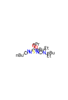 CCCCc1ccc(N=Nc2cc(C(=O)OCCC)c(N=Nc3ccc(N(CC(CC)CCCC)CC(CC)CCCC)cc3C)s2)cc1